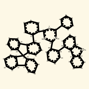 c1ccc(-c2nc(-c3ccccc3-c3cccc4c3-c3ccccc3C43c4ccccc4-c4ccccc43)nc(-c3ccccc3-c3cccc4oc5ccccc5c34)n2)cc1